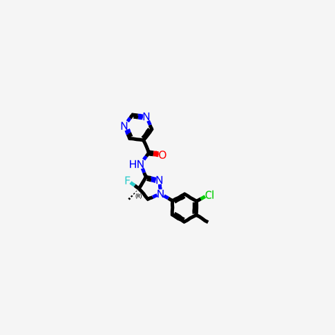 Cc1ccc(N2C[C@@](C)(F)C(NC(=O)c3cncnc3)=N2)cc1Cl